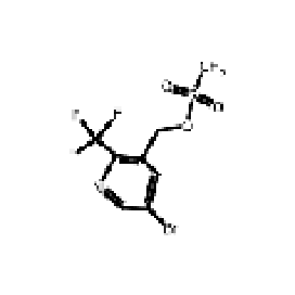 CS(=O)(=O)OCc1cc(Br)cnc1C(F)(F)F